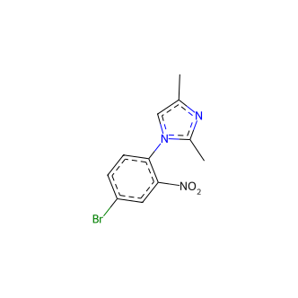 Cc1cn(-c2ccc(Br)cc2[N+](=O)[O-])c(C)n1